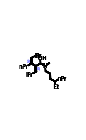 CCCC(=C/C(C)C)/C(=C\C(C)C)C(O)N(C)CCCC(CC)CCC